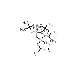 CC(C)O[Si](C)(C[Si](C)(OC(C)(C)C)OC(C)(C)C)OC(C)C